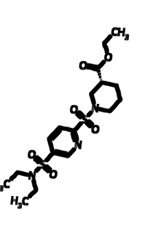 CCOC(=O)[C@@H]1CCCN(S(=O)(=O)c2ccc(S(=O)(=O)N(CC)CC)cn2)C1